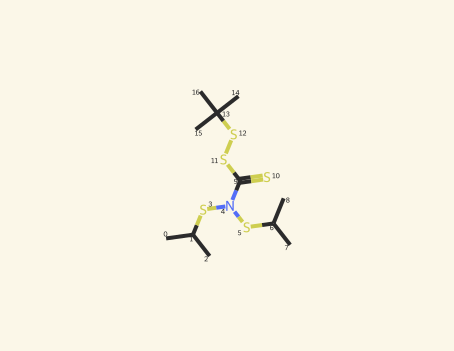 CC(C)SN(SC(C)C)C(=S)SSC(C)(C)C